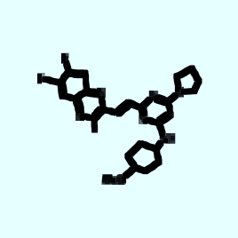 COC1CCC(Nc2cc(N3CCCC3)nc(/C=C/c3nc4cc(F)c(F)cc4nc3C)n2)CC1